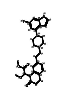 COC(=O)C(OC)N1C(=O)CCc2ccc(CCN3CCN(c4cc(F)cc5sccc45)CC3)cc21